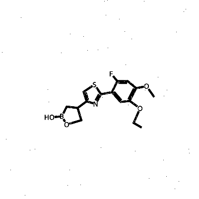 CCOc1cc(-c2nc(C3COB(O)C3)cs2)c(F)cc1OC